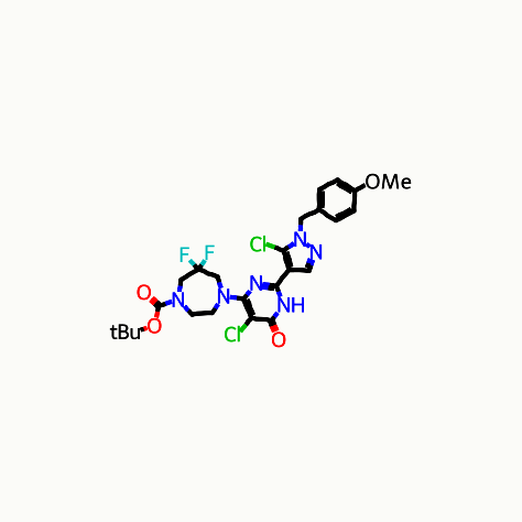 COc1ccc(Cn2ncc(-c3nc(N4CCN(C(=O)OC(C)(C)C)CC(F)(F)C4)c(Cl)c(=O)[nH]3)c2Cl)cc1